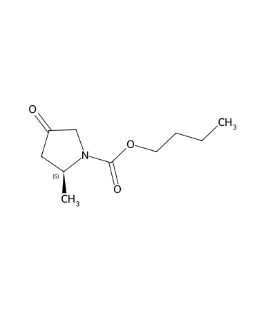 CCCCOC(=O)N1CC(=O)C[C@@H]1C